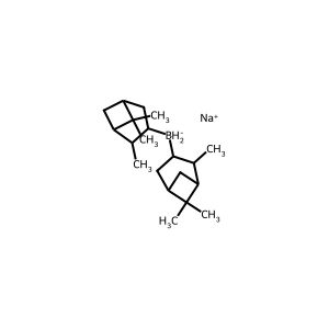 CC1C([BH2-]C2CC3CC(C2C)C3(C)C)CC2CC1C2(C)C.[Na+]